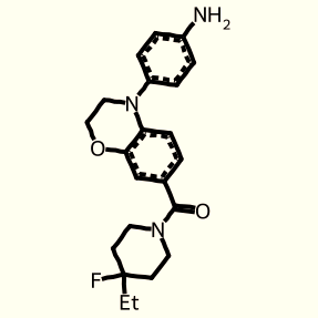 CCC1(F)CCN(C(=O)c2ccc3c(c2)OCCN3c2ccc(N)cc2)CC1